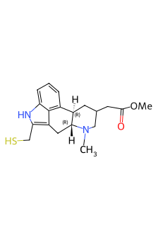 COC(=O)CC1C[C@@H]2c3cccc4[nH]c(CS)c(c34)C[C@H]2N(C)C1